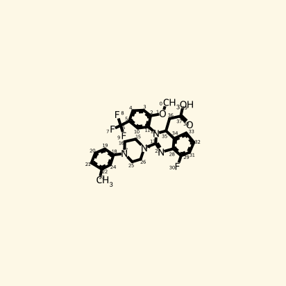 COc1ccc(C(F)(F)F)cc1N1C(N2CCN(c3cccc(C)c3)CC2)=Nc2c(F)cccc2C1CC(=O)O